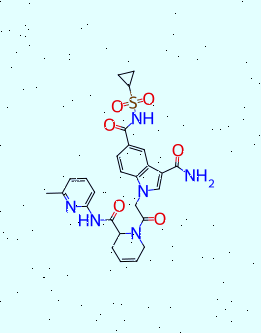 Cc1cccc(NC(=O)C2CC=CCN2C(=O)Cn2cc(C(N)=O)c3cc(C(=O)NS(=O)(=O)C4CC4)ccc32)n1